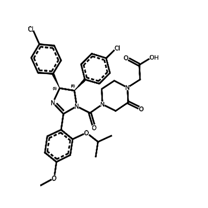 COc1ccc(C2=N[C@@H](c3ccc(Cl)cc3)[C@@H](c3ccc(Cl)cc3)N2C(=O)N2CCN(CC(=O)O)C(=O)C2)c(OC(C)C)c1